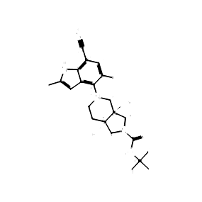 Cc1cc2c(N3CC[C@@H]4CN(C(=O)OC(C)(C)C)C[C@H]4C3)c(F)cc(C#N)c2[nH]1